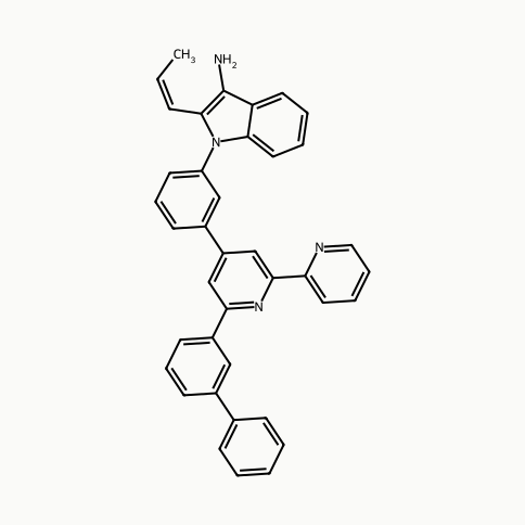 C/C=C\c1c(N)c2ccccc2n1-c1cccc(-c2cc(-c3cccc(-c4ccccc4)c3)nc(-c3ccccn3)c2)c1